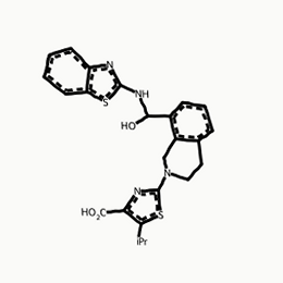 CC(C)c1sc(N2CCc3cccc(C(O)Nc4nc5ccccc5s4)c3C2)nc1C(=O)O